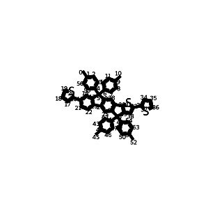 Cc1ccc(C2(c3ccc(C)cc3)c3cc(-c4cccs4)ccc3-c3cc4c(cc32)-c2sc(-c3cccs3)cc2C4(c2ccc(C)cc2)c2ccc(C)cc2)cc1